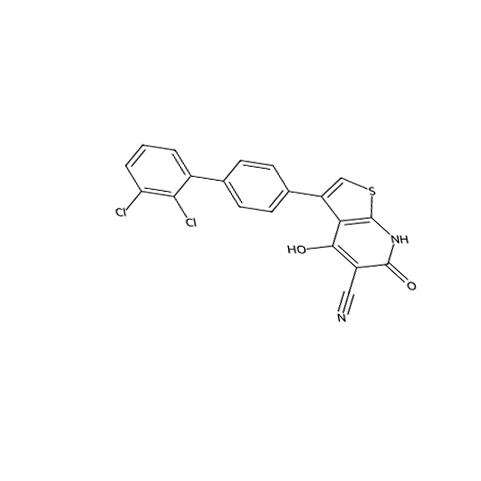 N#Cc1c(O)c2c(-c3ccc(-c4cccc(Cl)c4Cl)cc3)csc2[nH]c1=O